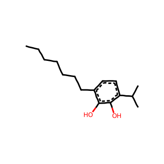 CCCCCCCc1ccc(C(C)C)c(O)c1O